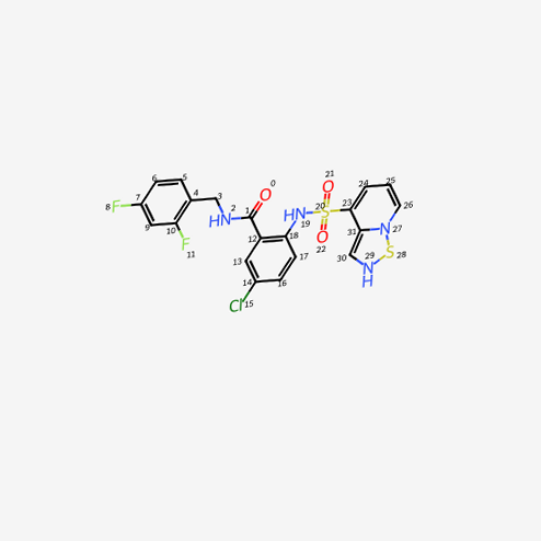 O=C(NCc1ccc(F)cc1F)c1cc(Cl)ccc1NS(=O)(=O)C1=CC=CN2SNC=C12